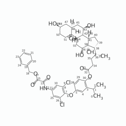 CC(C)c1cc(Oc2c(Cl)cc(NC(=O)C(=O)OCc3ccccc3)cc2Cl)ccc1OC(=O)CC[C@@H](C)[C@H]1CC[C@H]2[C@@H]3[C@H](O)C[C@@H]4C[C@H](O)CC[C@]4(C)[C@H]3C[C@H](O)[C@]12C